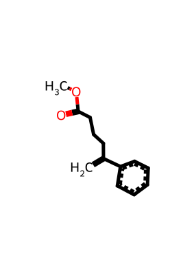 C=C(CCCC(=O)OC)c1ccccc1